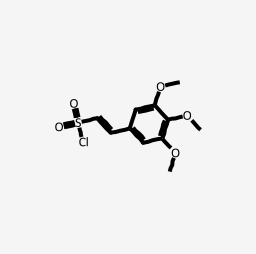 COc1cc(/C=C/S(=O)(=O)Cl)cc(OC)c1OC